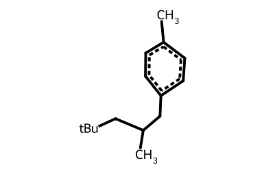 Cc1ccc(CC(C)CC(C)(C)C)cc1